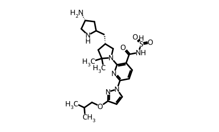 CC(C)COc1ccn(-c2ccc(C(=O)N[SH](=O)=O)c(N3C[C@@H](CC4C[C@@H](N)CN4)CC3(C)C)n2)n1